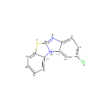 Clc1ccc2nc3sc4ccccc4n3c2c1